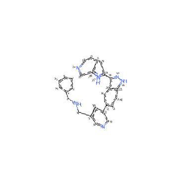 c1ccc(CNCc2cncc(-c3ccc4[nH]nc(-c5cc6ccncc6[nH]5)c4c3)c2)cc1